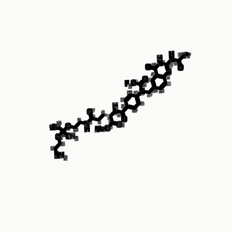 COC(=O)[C@H](CCC(=O)NCCOC(C)(OCCN)C(C)(C)C)NC(=O)c1ccc(N(Cc2ccc3nc(NC(=O)C(C)C)[nH]c(=O)c3c2)C(=O)C(F)(F)F)cc1